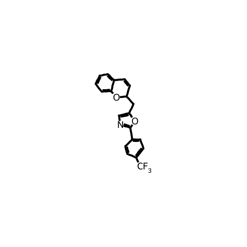 FC(F)(F)c1ccc(-c2ncc(CC3C=Cc4ccccc4O3)o2)cc1